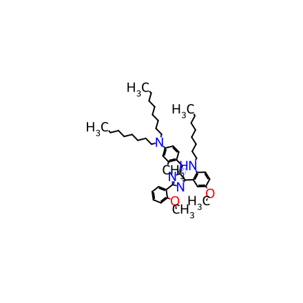 CCCCCCCCNc1ccc(OC)cc1C1=NC(c2ccccc2OC)=N/C1=C\c1ccc(N(CCCCCCCC)CCCCCCCC)cc1C